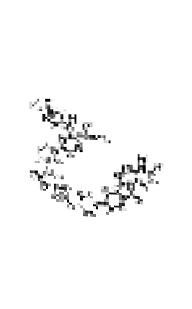 Cn1cc(Nc2nc(N3CCC[C@@H](N4CC5(CN(CC6CCN(c7ccc8c(c7)C(=O)N([C@H]7CCC(=O)NC7=O)C8=O)CC6)C5)OC4=O)C3)cnc2C(N)=O)cn1